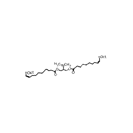 CCCCCCCC/C=C\CCCCCCCC(=O)OCC(COC(=O)CCCCCCC/C=C\CCCCCCCC)N(C)C